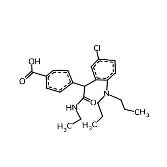 CCCN(CCC)c1ccc(Cl)cc1C(C(=O)NCC)c1ccc(C(=O)O)cc1